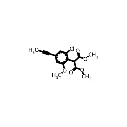 CC#Cc1cc(Cl)c(C(C(=O)OC)C(=O)OC)c(OC)c1